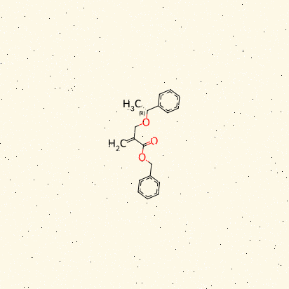 C=C(CO[C@H](C)c1ccccc1)C(=O)OCc1ccccc1